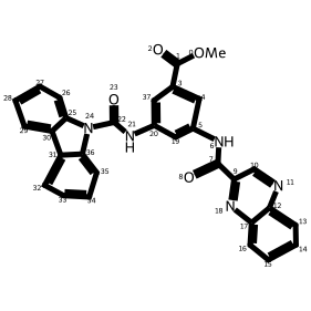 COC(=O)c1cc(NC(=O)c2cnc3ccccc3n2)cc(NC(=O)n2c3ccccc3c3ccccc32)c1